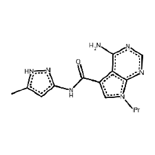 Cc1cc(NC(=O)c2cn(C(C)C)c3ncnc(N)c23)n[nH]1